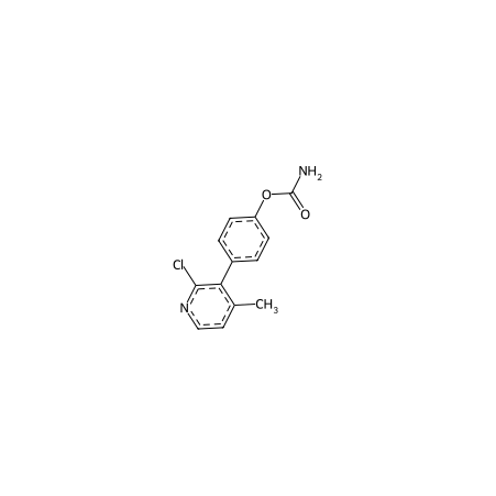 Cc1ccnc(Cl)c1-c1ccc(OC(N)=O)cc1